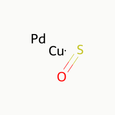 O=S.[Cu].[Pd]